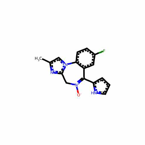 Cc1cn2c(n1)C[N+]([O-])=C(c1ccc[nH]1)c1cc(F)ccc1-2